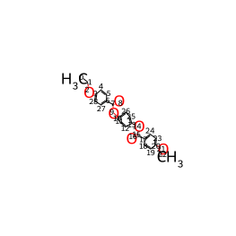 CCOc1ccc(C(=O)Oc2ccc(OC(=O)c3ccc(OC)cc3)cc2)cc1